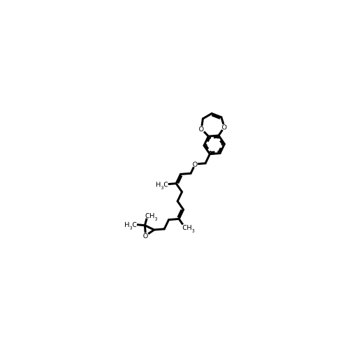 CC(=CCOCc1ccc2c(c1)OCC=CO2)CCC=C(C)CCC1OC1(C)C